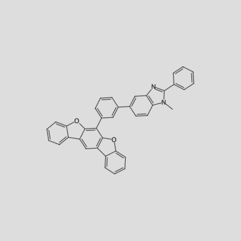 Cn1c(-c2ccccc2)nc2cc(-c3cccc(-c4c5oc6ccccc6c5cc5c4oc4ccccc45)c3)ccc21